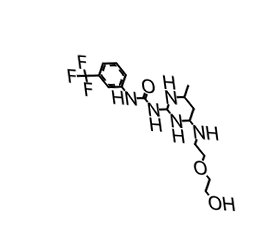 CC1CC(NCCOCCO)NC(NC(=O)Nc2cccc(C(F)(F)F)c2)N1